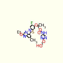 CCOc1cnc2c(-c3nc4cc(F)c(O[C@@H](C)COC(=O)Nc5cnc(OCCO)nc5)cc4s3)cc(C)cc2n1